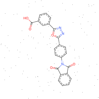 O=C(O)c1cccc(-c2nnc(-c3ccc(N4C(=O)c5ccccc5C4=O)cc3)o2)c1